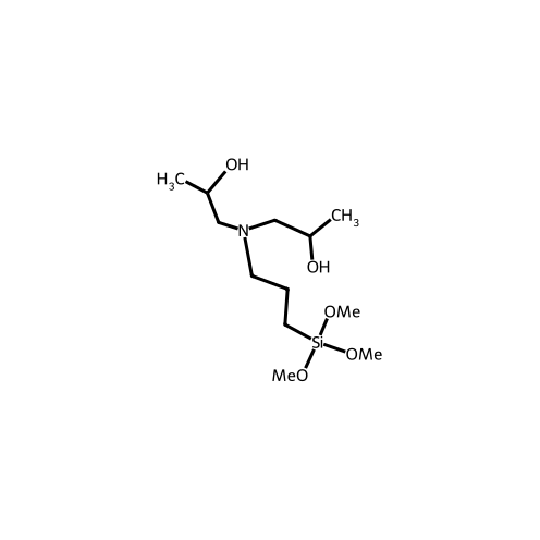 CO[Si](CCCN(CC(C)O)CC(C)O)(OC)OC